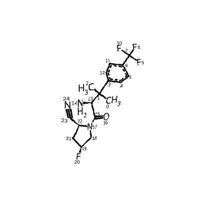 CC(C)(c1ccc(C(F)(F)F)cc1)[C@H](N)C(=O)N1C[C@@H](F)C[C@H]1C#N